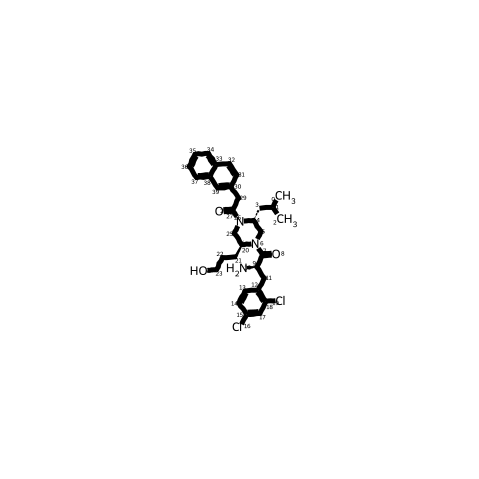 CC(C)C[C@@H]1CN(C(=O)[C@H](N)Cc2ccc(Cl)cc2Cl)[C@@H](CCCO)CN1C(=O)Cc1ccc2ccccc2c1